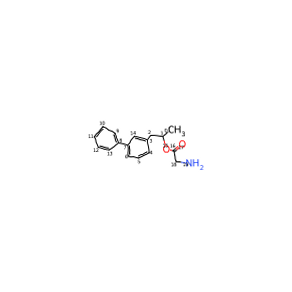 CC(Cc1cccc(-c2ccccc2)c1)OC(=O)CN